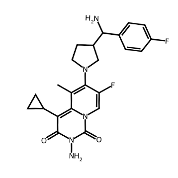 Cc1c(N2CCC(C(N)c3ccc(F)cc3)C2)c(F)cn2c(=O)n(N)c(=O)c(C3CC3)c12